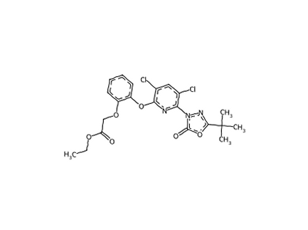 CCOC(=O)COc1ccccc1Oc1nc(-n2nc(C(C)(C)C)oc2=O)c(Cl)cc1Cl